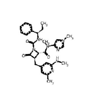 CC[C@@H](NC(=O)N1C(=O)[C@H](Cc2cc(C)nc(NC)c2)[C@H]1C(=O)N(C)c1cn(C)cn1)c1ccccc1